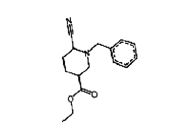 CCOC(=O)C1CCC(C#N)N(Cc2ccccc2)C1